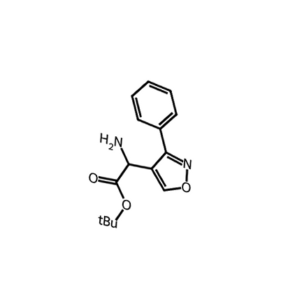 CC(C)(C)OC(=O)C(N)c1conc1-c1ccccc1